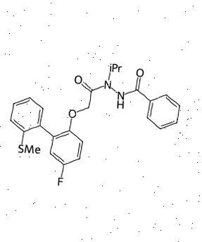 CSc1ccccc1-c1cc(F)ccc1OCC(=O)N(NC(=O)c1ccccc1)C(C)C